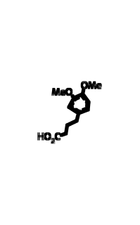 COc1ccc(CCCC(=O)O)cc1OC